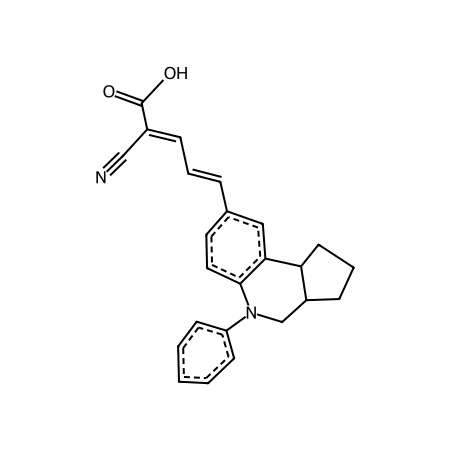 N#C/C(=C\C=C\c1ccc2c(c1)C1CCCC1CN2c1ccccc1)C(=O)O